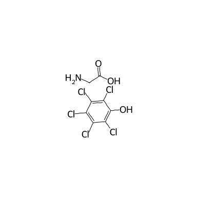 NCC(=O)O.Oc1c(Cl)c(Cl)c(Cl)c(Cl)c1Cl